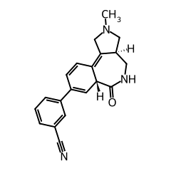 CN1CC2=C3C=CC(c4cccc(C#N)c4)=C[C@H]3C(=O)NC[C@@H]2C1